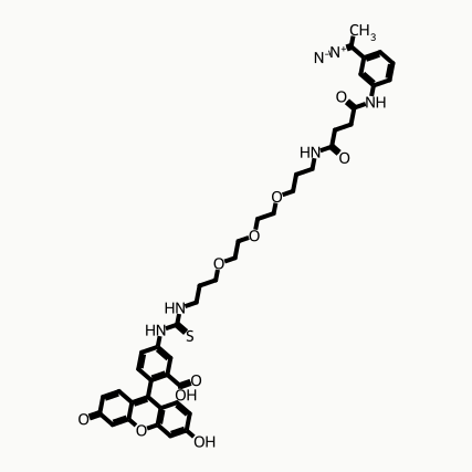 CC(=[N+]=[N-])c1cccc(NC(=O)CCC(=O)NCCCOCCOCCOCCCNC(=S)Nc2ccc(-c3c4ccc(=O)cc-4oc4cc(O)ccc34)c(C(=O)O)c2)c1